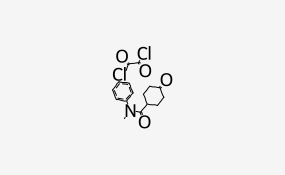 CN(C(=O)C1CCC(=O)CC1)c1ccccc1.O=C(Cl)C(=O)Cl